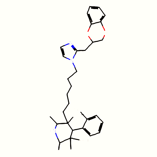 CC1NC(C)C(CCCCCCn2ccnc2CC2COc3ccccc3O2)(C(=O)O)C(c2ccccc2C(F)(F)F)C1(C)C(=O)O